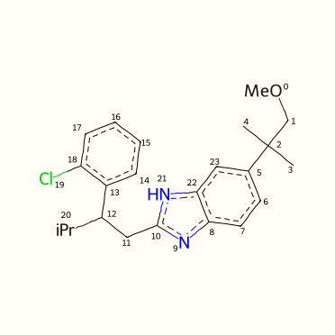 COCC(C)(C)c1ccc2nc(CC(c3ccccc3Cl)C(C)C)[nH]c2c1